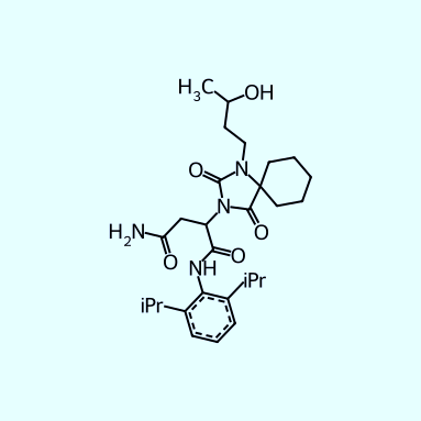 CC(O)CCN1C(=O)N(C(CC(N)=O)C(=O)Nc2c(C(C)C)cccc2C(C)C)C(=O)C12CCCCC2